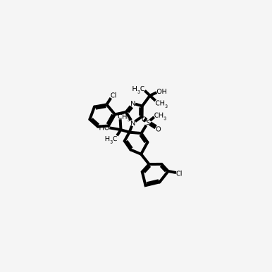 CC(C)(O)c1cn(C2(C(C)(C)O)C=CC(c3cccc(Cl)c3)C=C2S(C)(=O)=O)c(-c2ccccc2Cl)n1